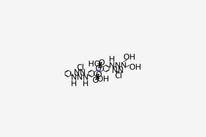 O=S(=O)(O)c1cc(Nc2nc(Cl)nc(Nc3ccccc3)n2)ccc1/C=C/c1ccc(Nc2nc(Cl)nc(N(CCO)CCO)n2)cc1S(=O)(=O)O